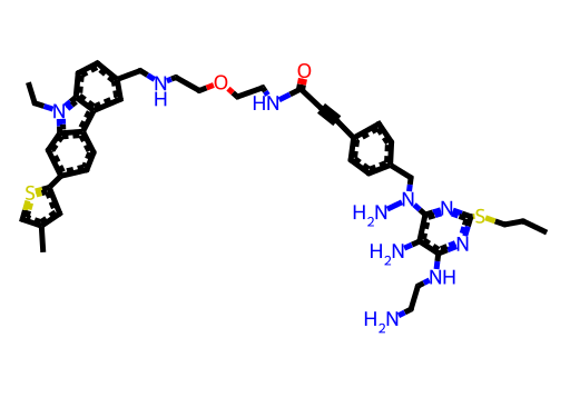 CCCSc1nc(NCCN)c(N)c(N(N)Cc2ccc(C#CC(=O)NCCOCCNCc3ccc4c(c3)c3ccc(-c5cc(C)cs5)cc3n4CC)cc2)n1